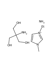 CC[n+]1ccn(C)c1.N.NC(CO)(CO)CO